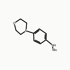 CC(C)(C)Nc1ccc(N2CCOCC2)cc1